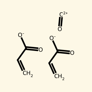 C=CC(=O)[O-].C=CC(=O)[O-].[C+2]=O